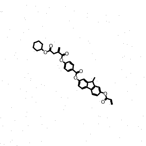 C=CC(=O)Oc1ccc2c(c1)C(C)c1cc(OC(=O)c3ccc(OC(=O)C(=C)CC(=O)OC4CCCCC4)cc3)ccc1-2